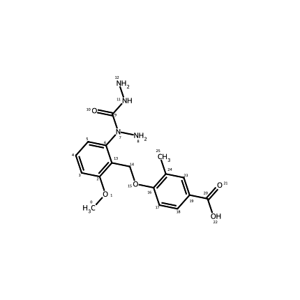 COc1cccc(N(N)C(=O)NN)c1COc1ccc(C(=O)O)cc1C